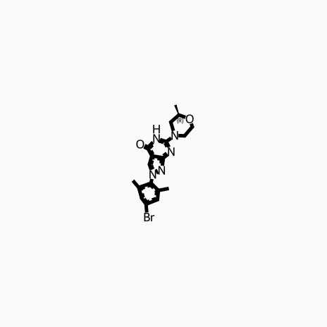 Cc1cc(Br)cc(C)c1-n1cc2c(=O)[nH]c(N3CCO[C@H](C)C3)nc2n1